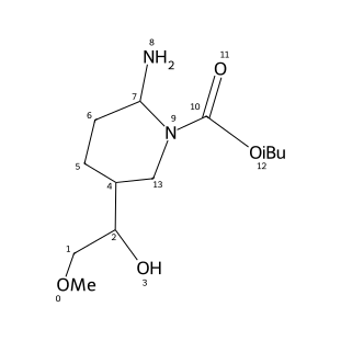 COCC(O)C1CCC(N)N(C(=O)OCC(C)C)C1